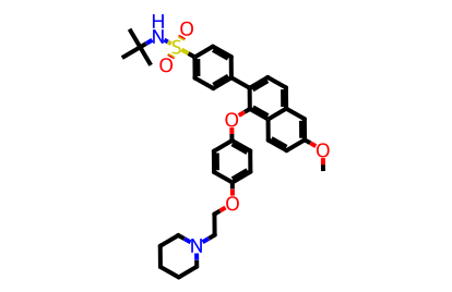 COc1ccc2c(Oc3ccc(OCCN4CCCCC4)cc3)c(-c3ccc(S(=O)(=O)NC(C)(C)C)cc3)ccc2c1